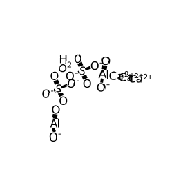 O.O=S(=O)([O-])[O-].O=S(=O)([O-])[O-].[Ca+2].[Ca+2].[Ca+2].[O]=[Al][O-].[O]=[Al][O-]